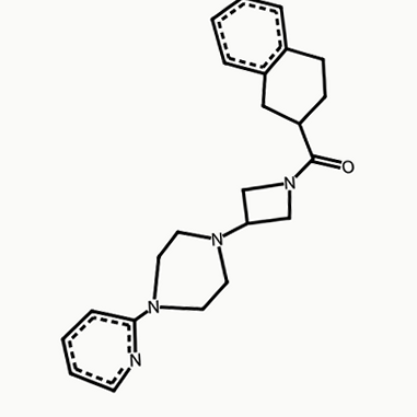 O=C(C1CCc2ccccc2C1)N1CC(N2CCN(c3ccccn3)CC2)C1